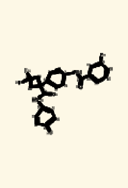 O=C(Nc1ccc(C2(C(=O)Nc3ccc(F)cc3)CC(F)(F)C2)cc1)c1cccc(F)c1